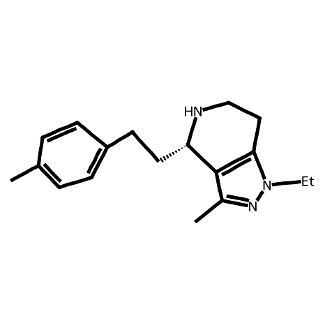 CCn1nc(C)c2c1CCN[C@H]2CCc1ccc(C)cc1